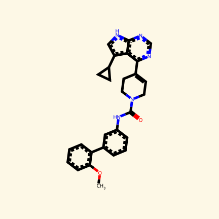 COc1ccccc1-c1cccc(NC(=O)N2CC=C(c3ncnc4[nH]cc(C5CC5)c34)CC2)c1